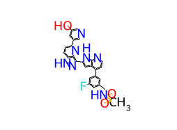 CS(=O)(=O)NCc1cc(F)cc(-c2ccnc3[nH]c(-c4n[nH]c5ccc(-c6cncc(O)c6)nc45)cc23)c1